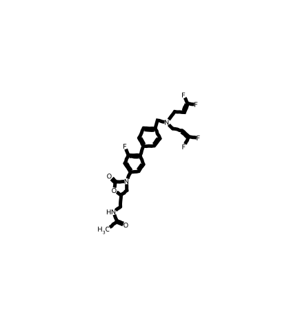 CC(=O)NCC1CN(c2ccc(-c3ccc(CN(CC=C(F)F)CC=C(F)F)cc3)c(F)c2)C(=O)O1